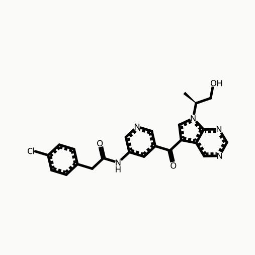 C[C@@H](CO)n1cc(C(=O)c2cncc(NC(=O)Cc3ccc(Cl)cc3)c2)c2cncnc21